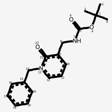 CC(C)(C)OC(=O)NCc1cccn(Cc2ccccc2)c1=O